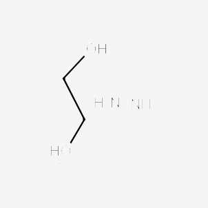 N.N.OCCO